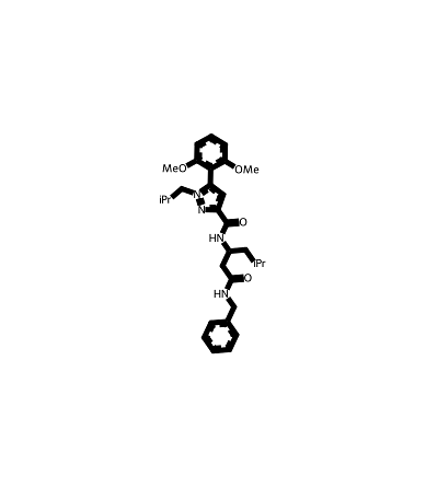 COc1cccc(OC)c1-c1cc(C(=O)NC(CC(=O)NCc2ccccc2)CC(C)C)nn1CC(C)C